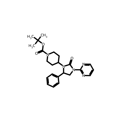 CC(C)(C)OC(=O)N1CCC(N2C(=O)N(c3ncccn3)CC2c2ccccc2)CC1